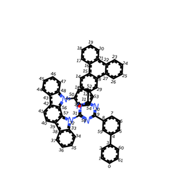 c1ccc(-c2cccc(-c3nc(-c4ccc5c6ccccc6c6ccccc6c5c4)nc(-n4c5ccccc5c5ccc6c7ccccc7n(-c7ccccc7)c6c54)n3)c2)cc1